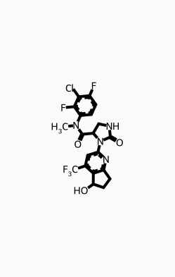 CN(C(=O)C1CNC(=O)N1c1cc(C(F)(F)F)c2c(n1)CCC2O)c1ccc(F)c(Cl)c1F